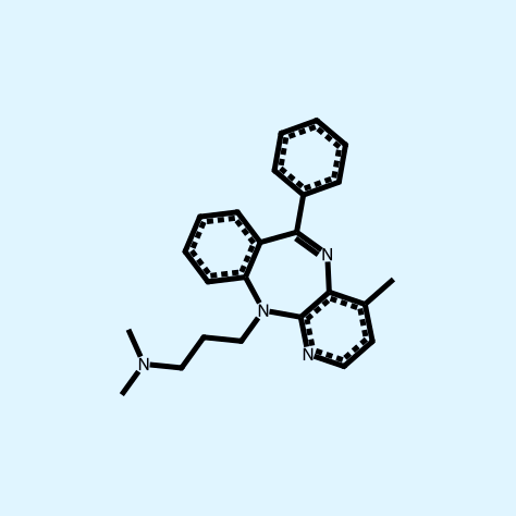 Cc1ccnc2c1N=C(c1ccccc1)c1ccccc1N2CCCN(C)C